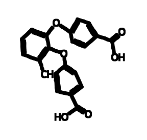 Cc1cccc(Oc2ccc(C(=O)O)cc2)c1Oc1ccc(C(=O)O)cc1